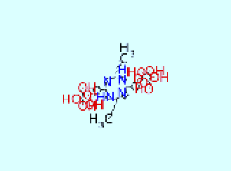 CCCCCCc1c2nc(c(-c3cccc(OC4OC(CO)C(O)C(O)C4O)c3)c3ccc([nH]3)c(CCCCCC)c3nc(c(-c4cccc(OC5OC(CO)C(O)C(O)C5O)c4)c4ccc1[nH]4)C=C3)C=C2